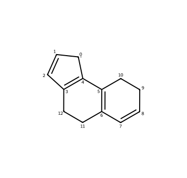 [CH]1C=CC2=C1C1=C(C=CCC1)CC2